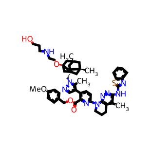 COc1ccc(COC(=O)c2nc(N3CCCc4c3nnc(Nc3nc5ccccc5s3)c4C)ccc2-c2cnn(C[C@]34C[C@]5(C)C[C@](C)(C3)C[C@@](OCCNCCCO)(C5)C4)c2C)cc1